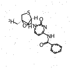 [2H]C[C@@]12CS[C@@H]([C@H](n3ccc(NC(=O)c4ccccc4)nc3=O)O1)[C@@H]2C